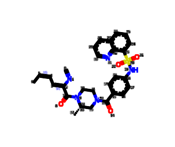 C=N/C(=C\C=C/C)C(=O)N1CCN(C(=O)c2ccc(NS(=O)(=O)c3cccc4cccnc34)cc2)C[C@@H]1C